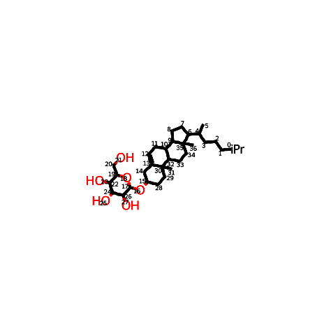 CC(C)CCCC(C)C1CCC2C3CC=C4CC(OC5OC(CO)C(O)C(O)C5O)CCC4(C)C3CCC12C